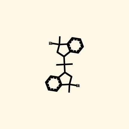 CCC1(C)CC(C(C)(C)C2CC(C)(CC)c3ccccc32)c2ccccc21